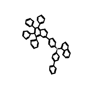 c1ccc(-c2ccc(N(c3ccc(-c4ccc5c(-c6ccccc6)c(-c6ccccc6)c(-c6ccccc6)c(-c6ccccc6)c5c4)cc3)c3cccc4ccccc34)cc2)cc1